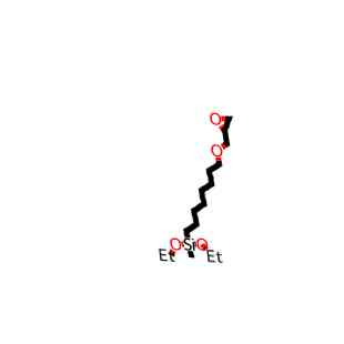 CCO[Si](C)(CCCCCCCCOCC1CO1)OCC